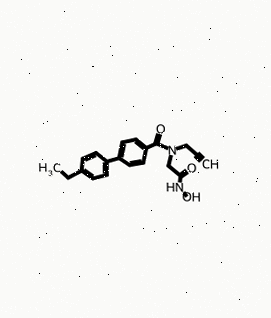 C#CCN(CC(=O)NO)C(=O)c1ccc(-c2ccc(CC)cc2)cc1